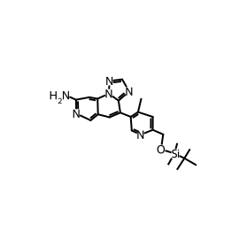 Cc1cc(CO[Si](C)(C)C(C)(C)C)ncc1-c1cc2cnc(N)cc2n2ncnc12